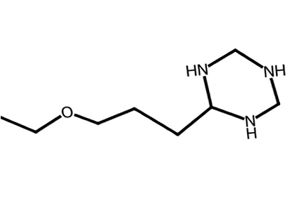 CCOCCCC1NCNCN1